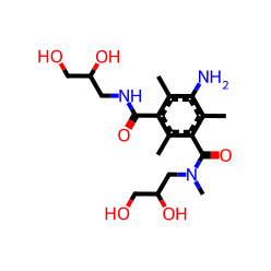 Cc1c(N)c(C)c(C(=O)N(C)CC(O)CO)c(C)c1C(=O)NCC(O)CO